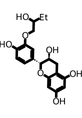 CCC(O)COc1cc([C@H]2Oc3cc(O)cc(O)c3C[C@@H]2O)ccc1O